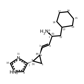 N[C@H](C=C[C@H]1C[C@@H]1c1c[nH]cn1)CC1CCCCC1